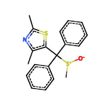 Cc1nc(C)c(C(c2ccccc2)(c2ccccc2)[S+](C)[O-])s1